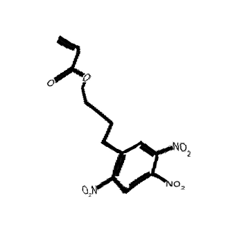 C=CC(=O)OCCCc1cc([N+](=O)[O-])c([N+](=O)[O-])cc1[N+](=O)[O-]